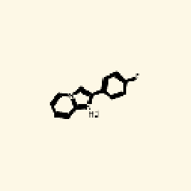 Cl.Fc1ccc(-c2cn3ccccc3n2)cc1